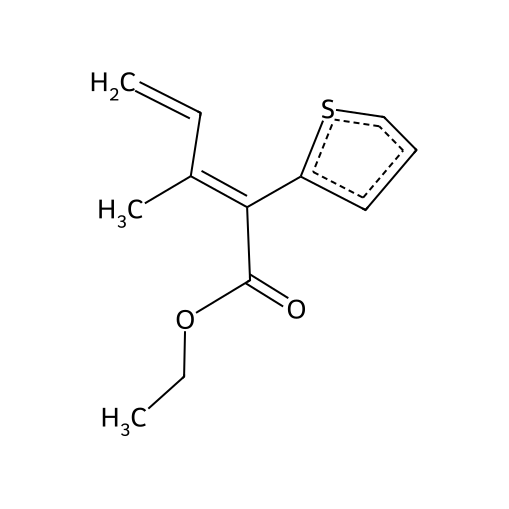 C=CC(C)=C(C(=O)OCC)c1cccs1